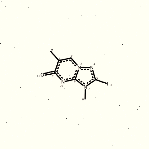 Cc1cn2nc(I)n(C)c2nc1=O